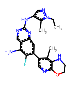 CCn1ncc(Nc2ncc3c(N)c(F)c(-c4cnc5c(c4C)NCCO5)cc3n2)c1C